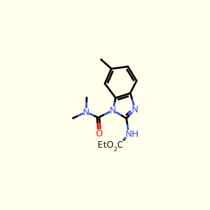 CCOC(=O)Nc1nc2ccc(C)cc2n1C(=O)N(C)C